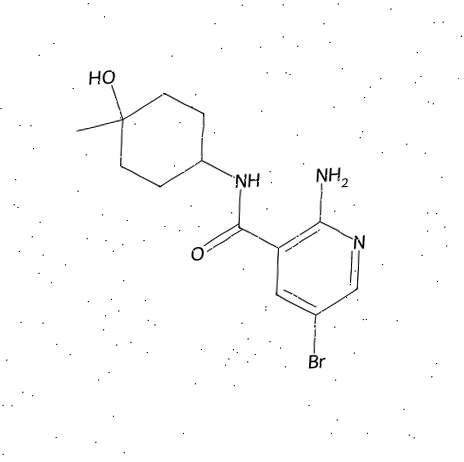 CC1(O)CCC(NC(=O)c2cc(Br)cnc2N)CC1